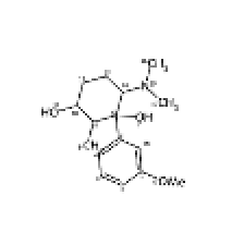 COc1cccc(C2(O)C(C)C(O)CCC2N(C)C)c1